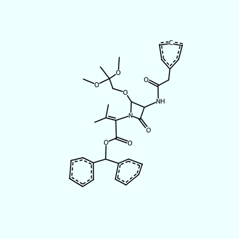 COC(C)(COC1C(NC(=O)Cc2ccccc2)C(=O)N1C(C(=O)OC(c1ccccc1)c1ccccc1)=C(C)C)OC